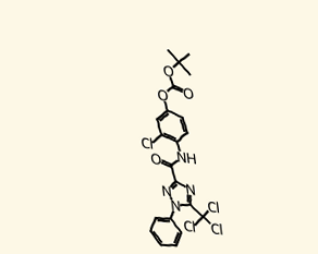 CC(C)(C)OC(=O)Oc1ccc(NC(=O)c2nc(C(Cl)(Cl)Cl)n(-c3ccccc3)n2)c(Cl)c1